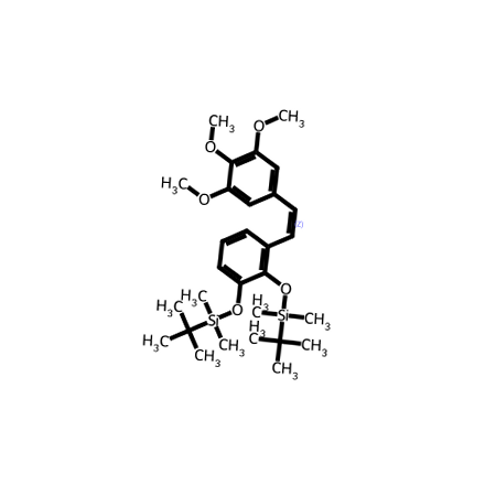 COc1cc(/C=C\c2cccc(O[Si](C)(C)C(C)(C)C)c2O[Si](C)(C)C(C)(C)C)cc(OC)c1OC